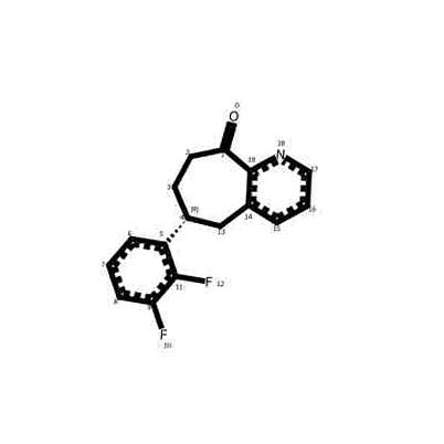 O=C1CC[C@@H](c2cccc(F)c2F)Cc2cccnc21